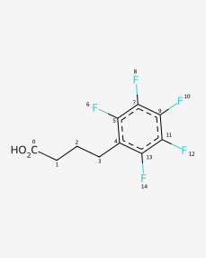 O=C(O)CCCc1c(F)c(F)c(F)c(F)c1F